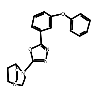 c1ccc(Oc2cccc(-c3nnc(N4CCN5CCC4CC5)o3)c2)cc1